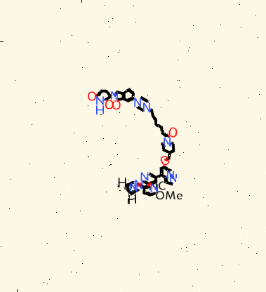 COc1ccc(CN2[C@@H]3C[C@H]2CN(c2ccc(-c4cc(OCC5CCN(C(=O)CCCCCCN6CCN(c7ccc8c(c7)C(=O)N(C7CCC(=O)NC7=O)C8)CC6)CC5)cn5ncc(C#N)c45)cn2)C3)cn1